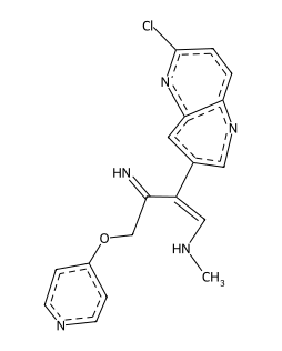 CN/C=C(\C(=N)COc1ccncc1)c1cnc2ccc(Cl)nc2c1